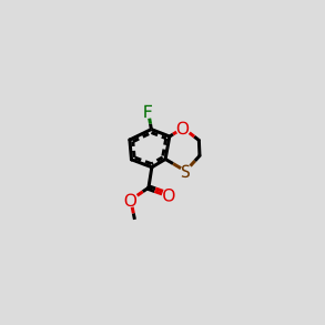 COC(=O)c1ccc(F)c2c1SCCO2